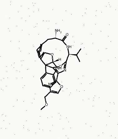 COCc1coc(-c2nc3oc2C24c5ccccc5N[C@H]2Oc2ccc(cc24)C[C@H](N)C(=O)N[C@H]3C(C)C)n1